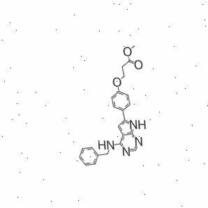 COC(=O)CCOc1ccc(-c2cc3c(NCc4ccccc4)ncnc3[nH]2)cc1